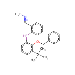 C/N=C/c1ccccc1Pc1cccc([Si](C)(C)C)c1OCc1ccccc1